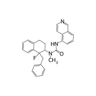 CN(C(=O)Nc1cccc2cnccc12)C1CCc2ccccc2C1(F)Cc1ccccc1